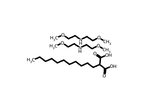 CCCCCCCCCCCC(C(=O)O)C(=O)O.COCCNCCOC.COCCNCCOC